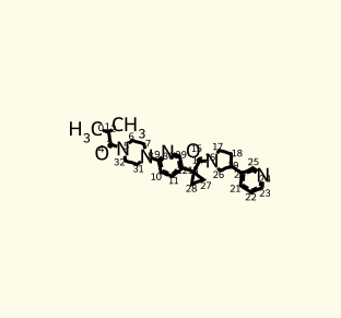 CC(C)C(=O)N1CCN(c2ccc(C3(C(=O)N4CCC(c5cccnc5)C4)CC3)cn2)CC1